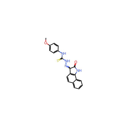 COc1ccc(NC(=S)N/N=C2\C(=O)Nc3c2ccc2ccccc32)cc1